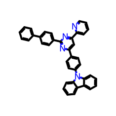 c1ccc(-c2ccc(-c3nc(-c4ccc(-n5c6ccccc6c6ccccc65)cc4)cc(-c4ccccn4)n3)cc2)cc1